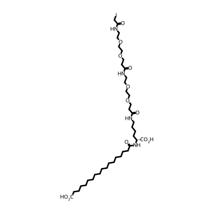 O=C(O)CCCCCCCCCCCCCCCCC(=O)N[C@H](CCCCNC(=O)CCOCCOCCNC(=O)CCOCCOCCNC(=O)CI)C(=O)O